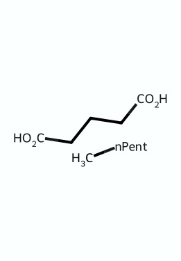 CCCCCC.O=C(O)CCCC(=O)O